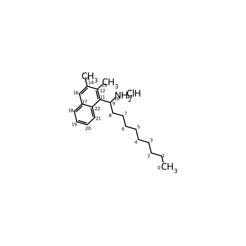 CCCCCCCCCC(N)c1c(C)c(C)cc2ccccc12.Cl